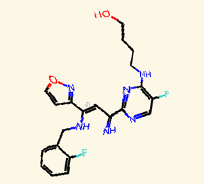 N=C(/C=C(\NCc1ccccc1F)c1ccon1)c1ncc(F)c(NCCCCO)n1